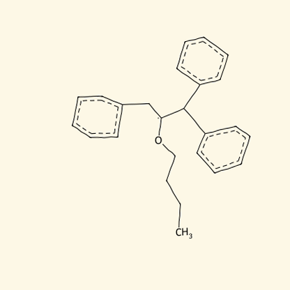 CCCCO[C](Cc1ccccc1)C(c1ccccc1)c1ccccc1